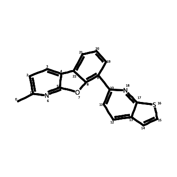 Cc1ccc2c(n1)oc1c(-c3ccc4ccsc4n3)cccc12